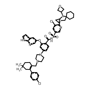 CC1(C)CCC(CN2CCN(c3ccc(C(=O)NS(=O)(=O)c4cnc(OCC5(N(C6CC6)C6COC6)CCCCC5)c(Cl)c4)c(Oc4cnc5[nH]ccc5c4)c3)CC2)=C(c2ccc(Cl)cc2)C1